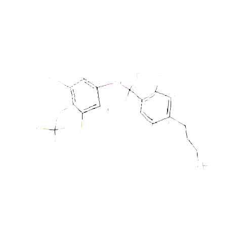 CCCCc1ccc(C(F)(F)Oc2cc(F)c(OC(F)(F)F)c(F)c2)c(F)c1